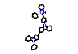 C1=Cc2c(n(-c3ccc(-c4nc5ccccc5n4-c4ccccc4)cc3)c3ccc(-c4ccc5c(c4)c4ccccc4n5-c4ccccc4)cc23)CC1